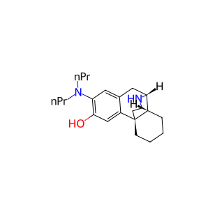 CCCN(CCC)c1cc2c(cc1O)[C@@]13CCCC[C@H]1[C@@H](C2)NCC3